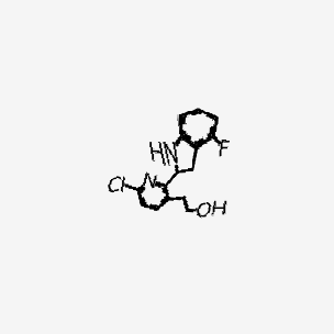 OCCc1ccc(Cl)nc1C1Cc2c(F)cccc2N1